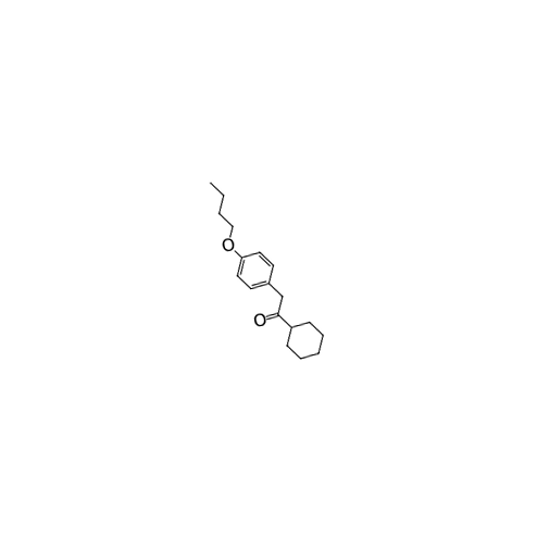 CCCCOc1ccc(CC(=O)C2CCCCC2)cc1